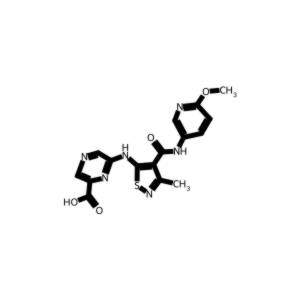 COc1ccc(NC(=O)c2c(C)nsc2Nc2cncc(C(=O)O)n2)cn1